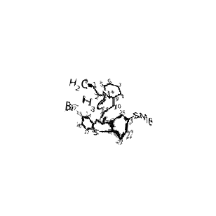 C=CC[N+]1(C)CCCCC1CCN1c2ccccc2Sc2ccc(SC)cc21.[Br-]